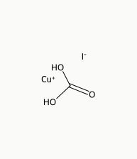 O=C(O)O.[Cu+].[I-]